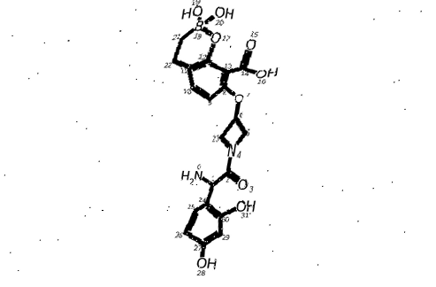 NC(C(=O)N1CC(Oc2ccc3c(c2C(=O)O)O[B-](O)(O)CC3)C1)c1ccc(O)cc1O